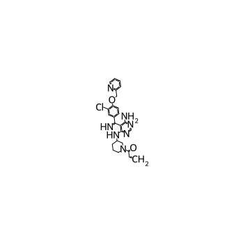 C=CC(=O)N1CCCC(Nc2ncnc(N)c2C(=N)c2ccc(OCc3ccccn3)c(Cl)c2)C1